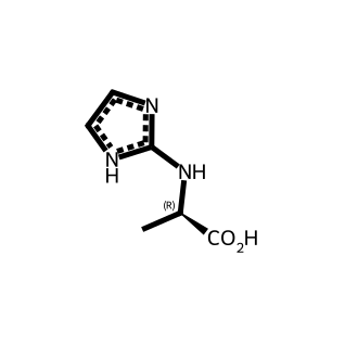 C[C@@H](Nc1ncc[nH]1)C(=O)O